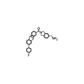 NCc1ccc2c(c1)CN(C(=O)c1ccc3c(c1)C1OC3c3ccc(-c4ccc(F)cc4)cc31)C2